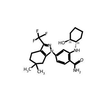 CC1(C)CCc2c(C(F)(F)F)nn(-c3ccc(C(N)=O)c(N[C@H]4CCCC[C@@H]4O)c3)c2C1